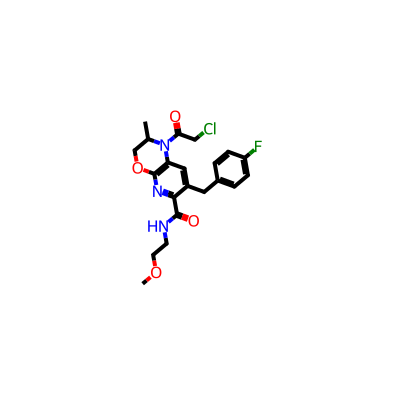 COCCNC(=O)c1nc2c(cc1Cc1ccc(F)cc1)N(C(=O)CCl)C(C)CO2